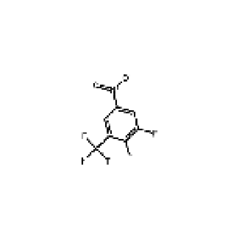 O=[N+]([O-])c1cc(F)c(F)c(C(F)(F)F)c1